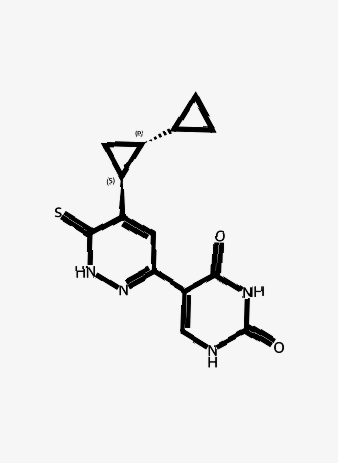 O=c1[nH]cc(-c2cc([C@H]3C[C@@H]3C3CC3)c(=S)[nH]n2)c(=O)[nH]1